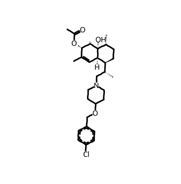 CC(=O)O[C@@H]1[C][C@@]2(O)[C@H](C)CC[C@@H]([C@H](C)CN3CCC(OCc4ccc(Cl)cc4)CC3)[C@H]2C=C1C